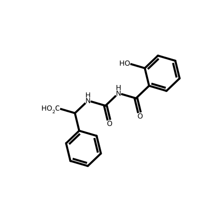 O=C(NC(=O)c1ccccc1O)NC(C(=O)O)c1ccccc1